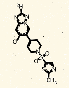 [2H]c1nc2cc(Cl)c(C3=CCN(S(=O)(=O)c4cnc(C)s4)CC3)cn2n1